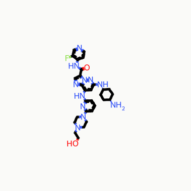 N[C@H]1CC[C@H](Nc2cc(Nc3cccc(N4CCN(CCO)CC4)n3)c3ncc(C(=O)Nc4ccncc4F)n3n2)CC1